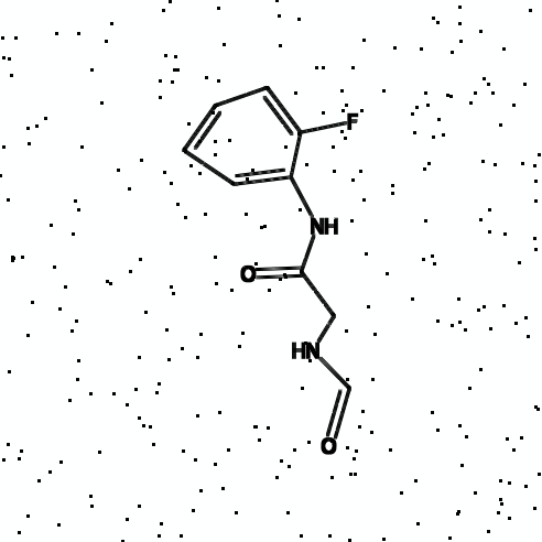 O=CNCC(=O)Nc1ccccc1F